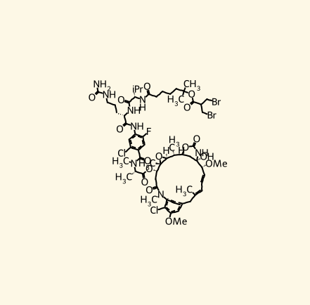 COc1cc2cc(c1Cl)N(C)C(=O)C[C@H](OC(=O)[C@H](C)N(C)C(=O)c1cc(F)c(NC(=O)[C@H](CCCNC(N)=O)NC(=O)[C@@H](NC(=O)CCCCC(C)(C)OC(=O)C(CBr)CBr)C(C)C)cc1Cl)[C@]1(C)O[C@H]1[C@H](C)[C@@H]1C[C@@](O)(NC(=O)O1)[C@H](OC)/C=C/C=C(\C)C2